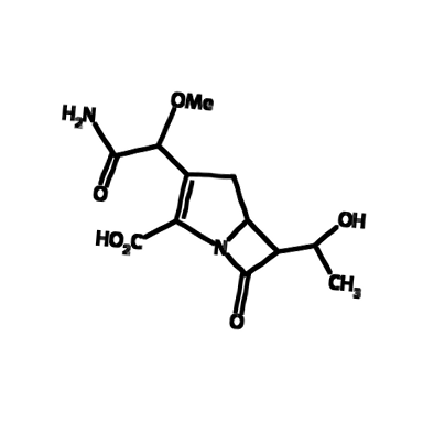 COC(C(N)=O)C1=C(C(=O)O)N2C(=O)C(C(C)O)C2C1